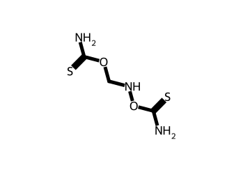 NC(=S)OCNOC(N)=S